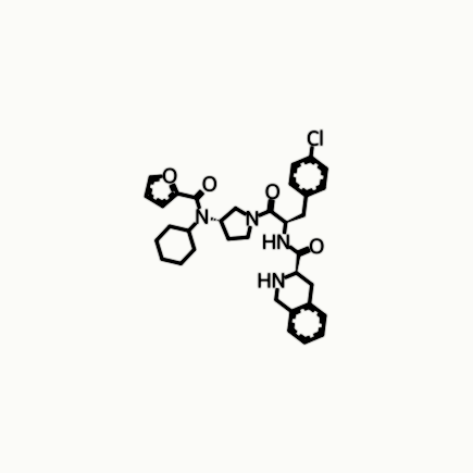 O=C(N[C@H](Cc1ccc(Cl)cc1)C(=O)N1CC[C@H](N(C(=O)c2ccco2)C2CCCCC2)C1)[C@H]1Cc2ccccc2CN1